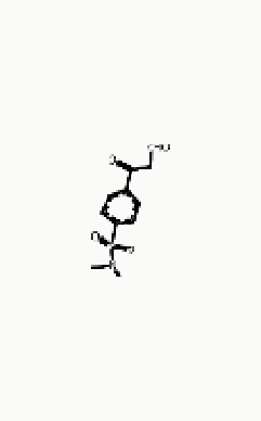 CN(C)S(=O)(=O)c1ccc(C(=O)CC=O)cc1